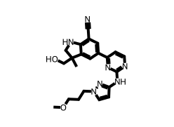 COCCCn1ccc(Nc2nccc(-c3cc(C#N)c4c(c3)C(C)(CO)CN4)n2)n1